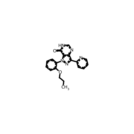 CCCOc1ccccc1-n1nc(-c2ccccn2)c2nc[nH]c(=O)c21